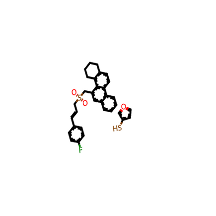 O=S(=O)(CC=Cc1ccc(F)cc1)Cc1cc2ccccc2c2ccc3c(c12)CCCC3.Sc1ccoc1